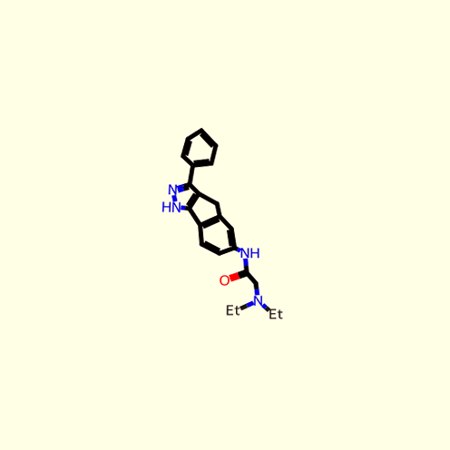 CCN(CC)CC(=O)Nc1ccc2c(c1)Cc1c(-c3ccccc3)n[nH]c1-2